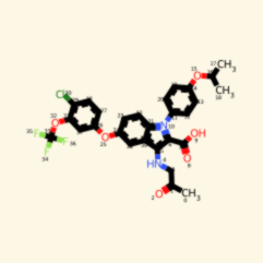 CC(=O)CNc1c(C(=O)O)n(-c2ccc(OC(C)C)cc2)c2ccc(Oc3ccc(Cl)c(OC(F)(F)F)c3)cc12